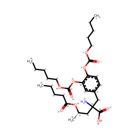 CCCCCOC(=O)Oc1ccc(CC(N)(C[C@H](C)OC(=O)CCCC)C(=O)O)cc1OC(=O)OCCCCC